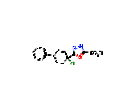 CCOC(=O)c1nnc(C2(Cl)C=CC(c3ccccc3)=CC2)o1